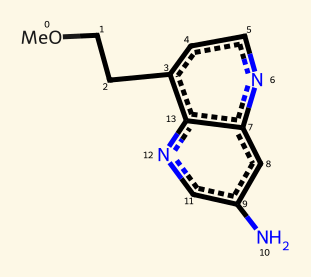 COCCc1ccnc2cc(N)cnc12